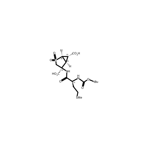 CSCC[C@H](NC(=O)OC(C)(C)C)C(=O)N[C@@]1(C(=O)O)CS(=O)(=O)[C@H]2[C@H](C(=O)O)[C@H]21